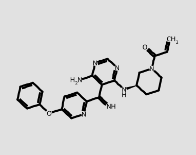 C=CC(=O)N1CCC[C@@H](Nc2ncnc(N)c2C(=N)c2ccc(Oc3ccccc3)cn2)C1